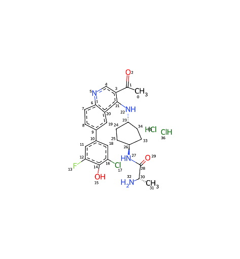 CC(=O)c1cnc2ccc(-c3cc(F)c(O)c(Cl)c3)cc2c1N[C@H]1CC[C@H](NC(=O)[C@H](C)N)CC1.Cl.Cl